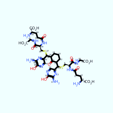 Nc1nc(C(SC[C@H](NC(=O)CC[C@@H](N)C(=O)O)C(=O)NCC(=O)O)C2CCCC(C(SC[C@H](NC(=O)CC[C@H](N)C(=O)O)C(=O)NCC(=O)O)c3cnc(O)c(N)n3)C2=O)cnc1O